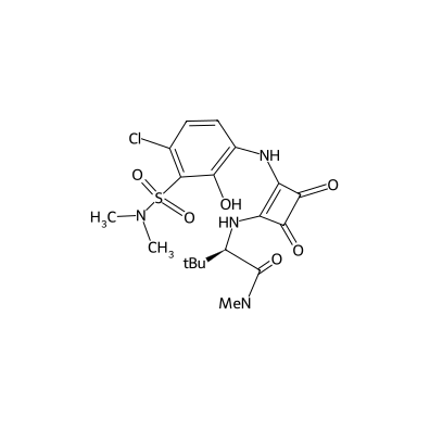 CNC(=O)[C@H](Nc1c(Nc2ccc(Cl)c(S(=O)(=O)N(C)C)c2O)c(=O)c1=O)C(C)(C)C